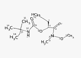 CON(C)C(=O)[C@H](CO)OC(=O)NC(C)(C)C